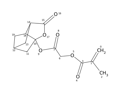 C=C(C)C(=O)OCC(=O)OC12CC3CC(C(=O)O1)C2C3